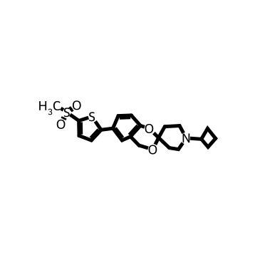 CS(=O)(=O)c1ccc(-c2ccc3c(c2)COC2(CCN(C4CCC4)CC2)O3)s1